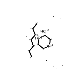 C1CNCCN1.CCCCCCC.Cl